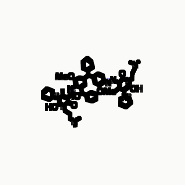 COc1cc(C(c2ccccc2)c2cc(OC)c(/N=N/c3c(C)c(-[n+]4ccccc4)c(O)n(CCCN(C)C)c3=O)c(C(O)c3ccccc3)c2)ccc1/N=N/c1c(C)c(-[n+]2ccccc2)c(O)n(CCCN(C)C)c1=O